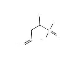 C=CCC(CC)P(=O)(O)O